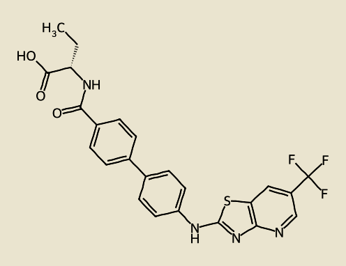 CC[C@H](NC(=O)c1ccc(-c2ccc(Nc3nc4ncc(C(F)(F)F)cc4s3)cc2)cc1)C(=O)O